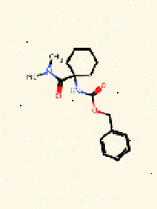 CN(C#N)C(=O)C1(NC(=O)OCc2ccccc2)CCCCC1